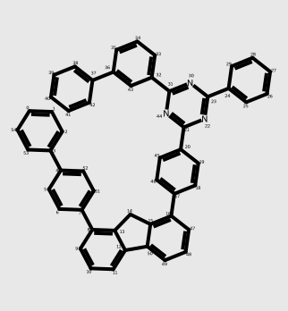 c1ccc(-c2ccc(-c3cccc4c3Cc3c(-c5ccc(-c6nc(-c7ccccc7)nc(-c7cccc(-c8ccccc8)c7)n6)cc5)cccc3-4)cc2)cc1